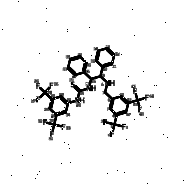 FC(F)(F)c1cc(CNC(c2ccccc2)C(NC(=S)Nc2cc(C(F)(F)F)cc(C(F)(F)F)c2)c2ccccc2)cc(C(F)(F)F)c1